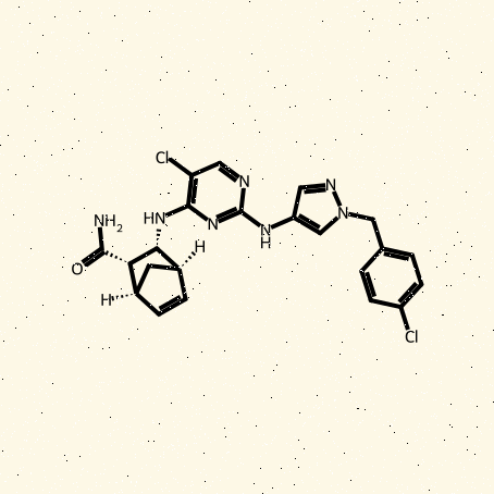 NC(=O)[C@@H]1[C@H](Nc2nc(Nc3cnn(Cc4ccc(Cl)cc4)c3)ncc2Cl)[C@H]2C=C[C@@H]1C2